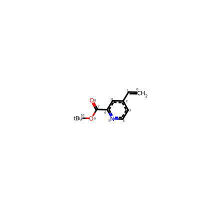 C=Cc1ccnc(C(=O)OC(C)(C)C)c1